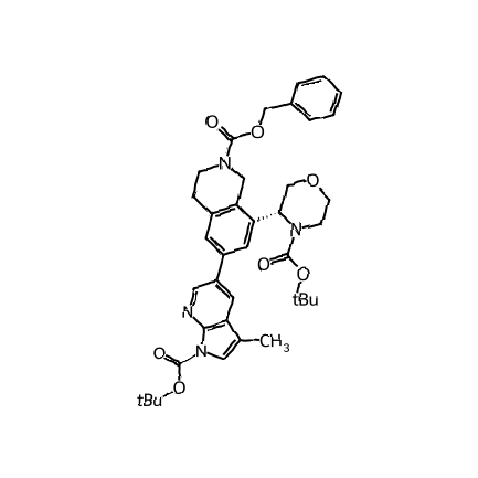 Cc1cn(C(=O)OC(C)(C)C)c2ncc(-c3cc4c(c([C@@H]5COCCN5C(=O)OC(C)(C)C)c3)CN(C(=O)OCc3ccccc3)CC4)cc12